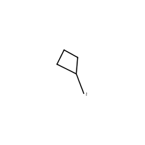 [CH]C1CCC1